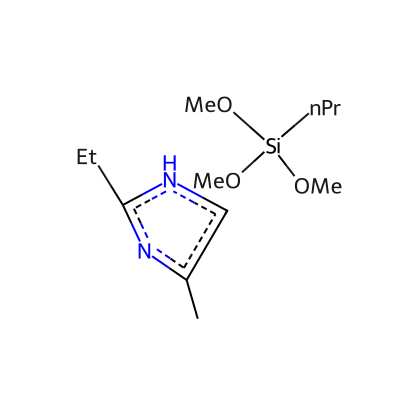 CCC[Si](OC)(OC)OC.CCc1nc(C)c[nH]1